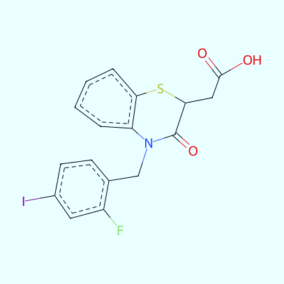 O=C(O)CC1Sc2ccccc2N(Cc2ccc(I)cc2F)C1=O